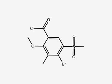 COc1c(C(=O)Cl)cc(S(C)(=O)=O)c(Br)c1C